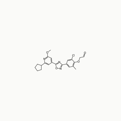 COc1cc(-c2nc(-c3cc(C)c(OCC=O)c(Cl)c3)no2)cc(C2CCCC2)n1